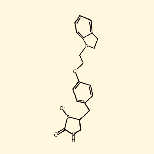 O=C1NCC(Cc2ccc(OCCN3CCc4ccccc43)cc2)[S+]1[O-]